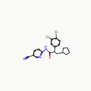 N#Cc1ccc(NC(=O)C(CC2CCCC2)c2ccc(Cl)c(Cl)c2)nc1